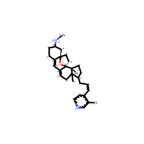 CCc1cnccc1/C=C\CC1CC[C@@H]2C1(C)CC=C1C=C3CCC(NC(C)C)C[C@]34CC[C@@]12O4